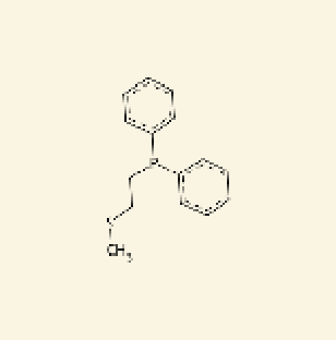 CSCCP(c1ccccc1)c1ccccc1